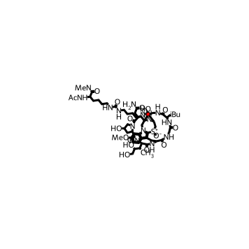 CCC(C)C1NC(=O)CNC(=O)C2Cc3c4n(c5cc(OC)ccc35)CC(CCCCCNC(=O)NCCCCC(NC(C)=O)C(=O)NC)(NC(C[S+]4[O-])C(=O)NC(CC(N)=O)C(=O)N3CC(O)CC3C(=O)NC(C(C)C(O)CO)C(=O)N2)C(=O)CNC1=O